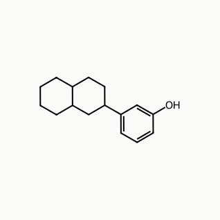 Oc1cccc(C2CCC3CCCCC3C2)c1